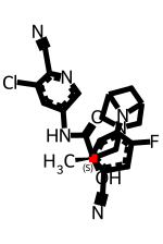 C[C@](O)(CN1CC2CC(C1)N2c1ccc(C#N)cc1F)C(=O)Nc1cnc(C#N)c(Cl)c1